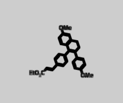 CCOC(=O)C=Cc1ccc(C2=C(c3ccc(OC)cc3)CCc3cc(OC)ccc32)cc1